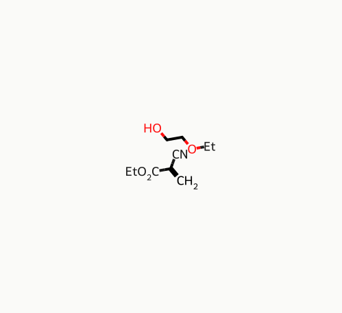 C=C(C#N)C(=O)OCC.CCOCCO